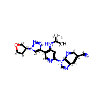 CC(C)Nc1cc(-n2cnc3cc(C#N)cnc32)ncc1-c1cn(C2CCOC2)nn1